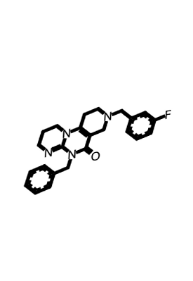 O=C1C2=C(CCN(Cc3cccc(F)c3)C2)N2CCCN=C2N1Cc1ccccc1